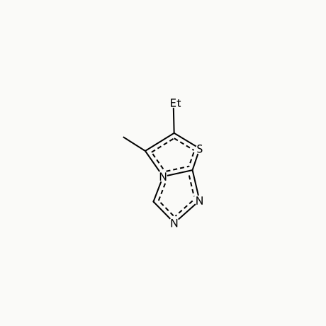 CCc1sc2nncn2c1C